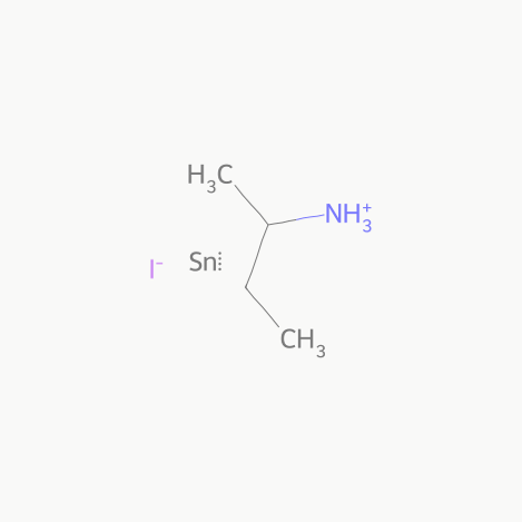 CCC(C)[NH3+].[I-].[Sn]